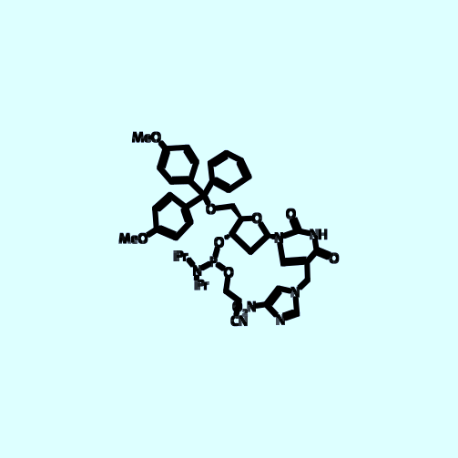 COc1ccc(C(OC[C@H]2O[C@@H](n3cc(Cn4cnc([N+](=O)[O-])c4)c(=O)[nH]c3=O)C[C@@H]2OP(OCCC#N)N(C(C)C)C(C)C)(c2ccccc2)c2ccc(OC)cc2)cc1